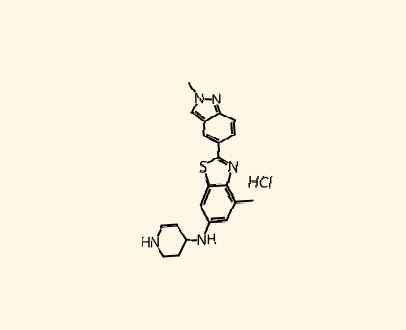 Cc1cc(NC2CCNCC2)cc2sc(-c3ccc4nn(C)cc4c3)nc12.Cl